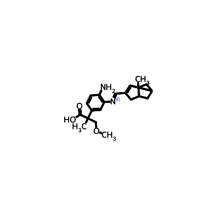 COCC(C)(C(=O)O)c1ccc(N)c(/N=C/C2=C3C4CC(C2)C3(C)C4)c1